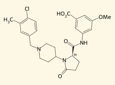 COc1cc(NC(=O)[C@H]2CCC(=O)N2C2CCN(Cc3ccc(Cl)c(C)c3)CC2)cc(C(=O)O)c1